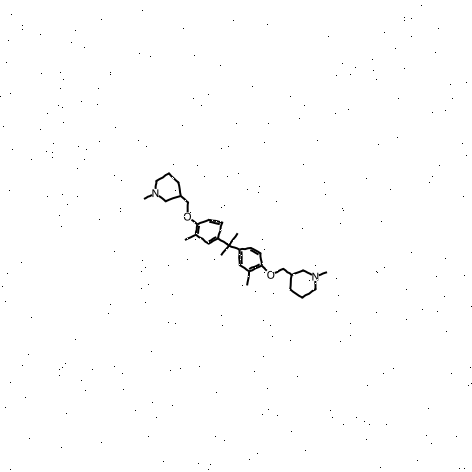 Cc1cc(C(C)(C)c2ccc(OCC3CCCN(C)C3)c(C)c2)ccc1OCC1CCCN(C)C1